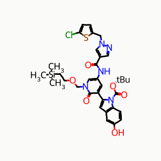 CC(C)(C)OC(=O)n1c(-c2cc(NC(=O)c3cnn(Cc4ccc(Cl)s4)c3)cn(COCC[Si](C)(C)C)c2=O)cc2cc(O)ccc21